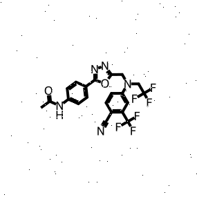 CC(=O)Nc1ccc(-c2nnc(CN(CC(F)(F)F)c3ccc(C#N)c(C(F)(F)F)c3)o2)cc1